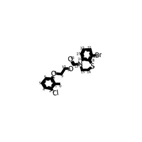 Cc1c(Cl)cccc1OCCOC(=O)N1CCSc2c(Br)cccc21